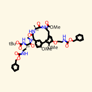 COC(=O)[C@@H]1Cc2cc(OCCNC(=O)OCc3ccccc3)c(OC)c(c2)-c2cc(ccc2OC)[C@H](N(C)C(=O)[C@H](CCNC(=O)OCc2ccccc2)NC(=O)OC(C)(C)C)C(=O)N[C@@H](C)C(=O)N1